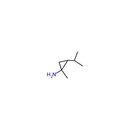 CC(C)C1CC1(C)N